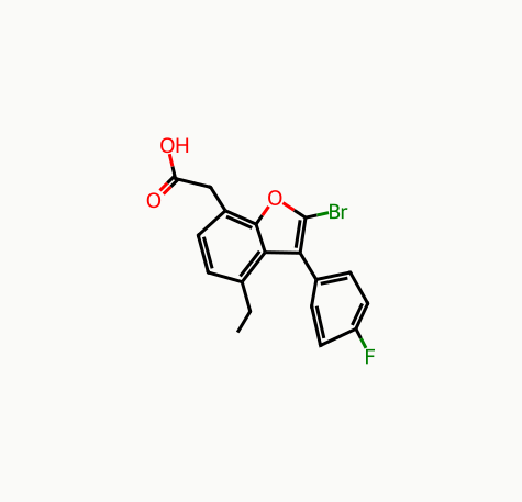 CCc1ccc(CC(=O)O)c2oc(Br)c(-c3ccc(F)cc3)c12